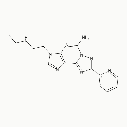 CCNCCn1cnc2c1nc(N)n1nc(-c3ccccn3)nc21